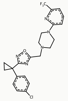 FC(F)(F)c1cccc(N2CCN(Cc3nc(C4(c5ccc(Cl)cc5)CC4)no3)CC2)n1